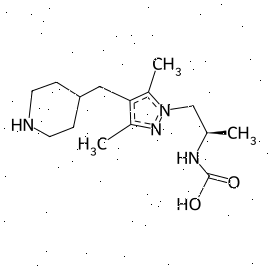 Cc1nn(C[C@@H](C)NC(=O)O)c(C)c1CC1CCNCC1